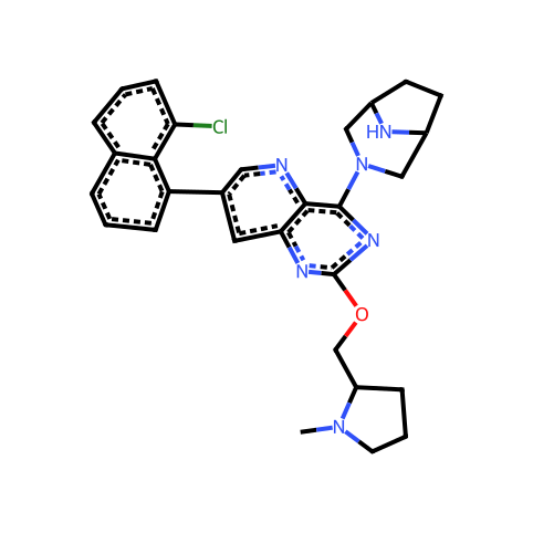 CN1CCCC1COc1nc(N2CC3CCC(C2)N3)c2ncc(-c3cccc4cccc(Cl)c34)cc2n1